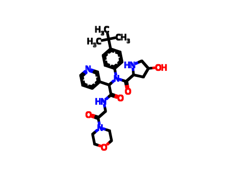 CC(C)(C)c1ccc(N(C(=O)C2CC(O)CN2)C(C(=O)NCC(=O)N2CCOCC2)c2cccnc2)cc1